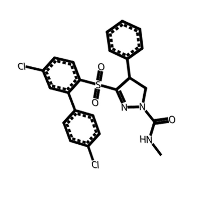 CNC(=O)N1CC(c2ccccc2)C(S(=O)(=O)c2ccc(Cl)cc2-c2ccc(Cl)cc2)=N1